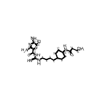 N=C(NCCCCC1CCC(NC(=O)CCO)CC1)NC(=O)c1nc(Cl)c(N)nc1N